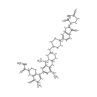 CNC(=O)N1CCc2c(-c3cc(OC)c(CN4CCN(CC5CCN(c6ccc7c(c6)CN(C6CCC(=O)NC6=O)C7=O)CC5)CC4)c(OC)c3)cn(C)c(=O)c2C1